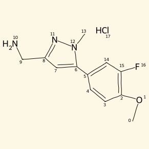 COc1ccc(-c2cc(CN)nn2C)cc1F.Cl